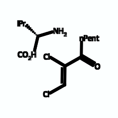 CC(C)[C@H](N)C(=O)O.CCCCCC(=O)/C(Cl)=C/Cl